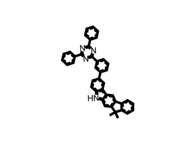 CC1(C)c2ccccc2-c2cc3c(cc21)[nH]c1ccc(-c2cccc(-c4nc(-c5ccccc5)nc(-c5ccccc5)n4)c2)cc13